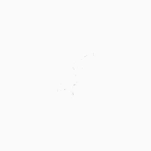 C[C@]12CC[C@H]3[C@@H](CC=C4[C@H](O)CCC[C@@]43C)[C@@H]1C[C@@H](F)[C@H]2O